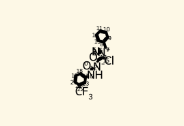 O=C([N-]c1on[n+](Cc2ccccc2)c1Cl)Nc1cccc(C(F)(F)F)c1